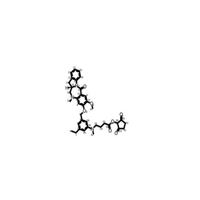 CCc1cc(COc2cc3c(cc2OC)C(=O)N2c4ccccc4C[C@H]2CN3C)cc(N(C)CCCC(=O)OC2C(=O)CCC2=O)c1